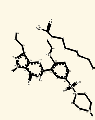 CCCCCCCCC(=O)O.CCCc1nn(C)c2c(=O)[nH]c(-c3cc(S(=O)(=O)N4CCN(C)CC4)ccc3OCC)nc12